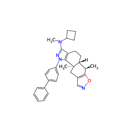 C[C@H]1c2oncc2C[C@@]2(C)c3c(c(N(C)C4CCC4)nn3-c3ccc(-c4ccccc4)cc3)CC[C@H]12